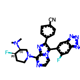 CN(C)[C@H]1CN(c2nccn3c(-c4cc5nnn(C)c5cc4F)c(-c4ccc(C#N)cc4)nc23)CC[C@H]1F